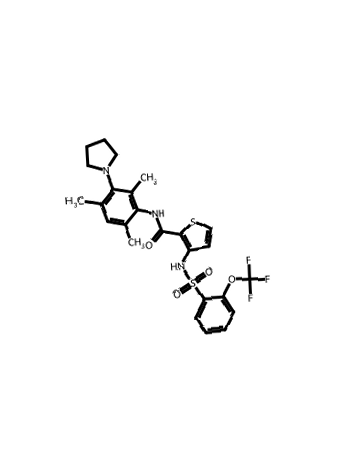 Cc1cc(C)c(N2CCCC2)c(C)c1NC(=O)c1sccc1NS(=O)(=O)c1ccccc1OC(F)(F)F